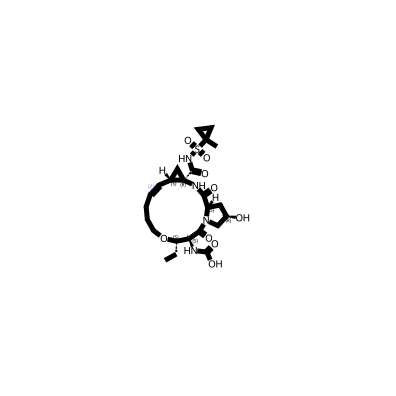 CC[C@@H]1OCCC/C=C\[C@@H]2C[C@@]2(C(=O)NS(=O)(=O)C2(C)CC2)NC(=O)[C@@H]2C[C@@H](O)CN2C(=O)[C@H]1NC(=O)O